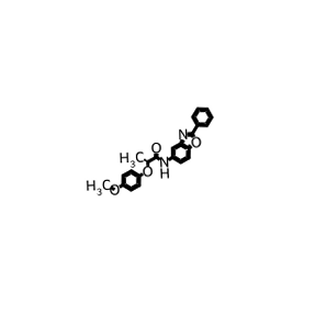 COc1ccc(O[C@@H](C)C(=O)Nc2ccc3oc(-c4ccccc4)nc3c2)cc1